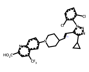 O=C(O)c1cc(C(F)(F)F)c2cc(N3CCC(/C=C/c4c(C5CC5)nnn4-c4c(Cl)cccc4Cl)CC3)ccc2n1